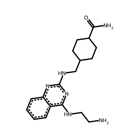 NCCNc1nc(NCC2CCC(C(N)=O)CC2)nc2ccccc12